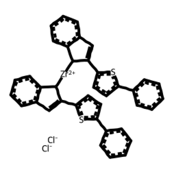 C1=C(c2ccc(-c3ccccc3)s2)[CH]([Zr+2][CH]2C(c3ccc(-c4ccccc4)s3)=Cc3ccccc32)c2ccccc21.[Cl-].[Cl-]